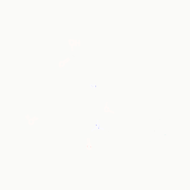 C/C(=C\COc1ccc(C(F)(F)F)cc1CN(C)C(=O)c1ccc(-c2ccco2)cc1)CCC(=O)O